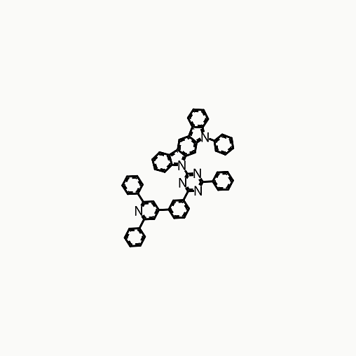 c1ccc(-c2cc(-c3cccc(-c4nc(-c5ccccc5)nc(-n5c6ccccc6c6cc7c8ccccc8n(-c8ccccc8)c7cc65)n4)c3)cc(-c3ccccc3)n2)cc1